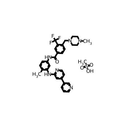 CS(=O)(=O)O.Cc1ccc(NC(=O)c2ccc(CN3CCN(C)CC3)c(C(F)(F)F)c2)cc1Nc1cc(-c2cccnc2)ccn1